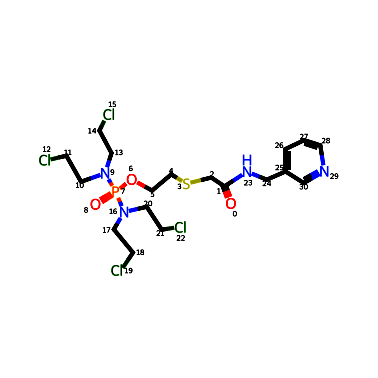 O=C(CSCCOP(=O)(N(CCCl)CCCl)N(CCCl)CCCl)NCc1cccnc1